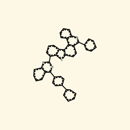 c1ccc(-c2ccc(-c3nc(-c4cccc5c4sc4ccc6c(-c7ccccc7)nc7ccccc7c6c45)nc4ccccc34)cc2)cc1